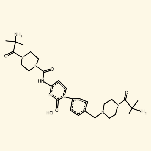 CC(C)(N)C(=O)N1CCN(Cc2ccc(-n3ccc(NC(=O)N4CCN(C(=O)C(C)(C)N)CC4)nc3=O)cc2)CC1.Cl